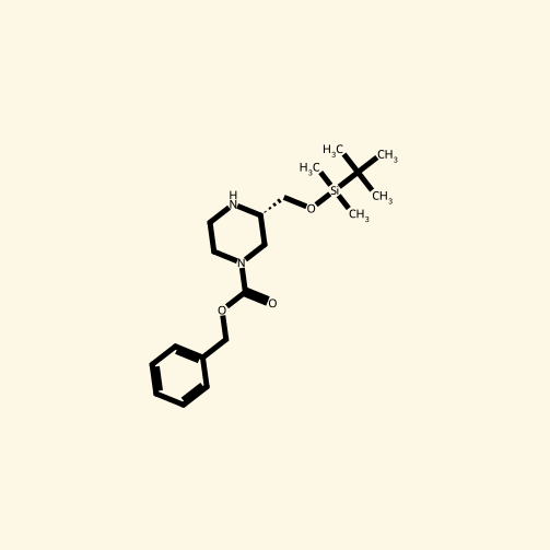 CC(C)(C)[Si](C)(C)OC[C@@H]1CN(C(=O)OCc2ccccc2)CCN1